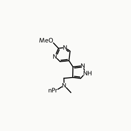 CCCN(C)Cc1c[nH]nc1-c1cnc(OC)nc1